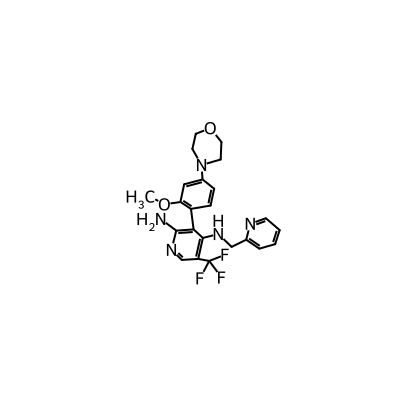 COc1cc(N2CCOCC2)ccc1-c1c(N)ncc(C(F)(F)F)c1NCc1ccccn1